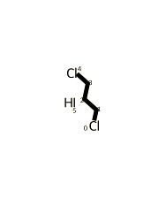 ClCCCCl.I